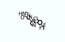 O=C1NCCn2nc(-c3ccnc(-c4cc(C(F)(F)F)ccc4Cl)n3)cc21